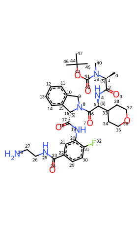 C[C@@H](C(=O)N[C@H](C(=O)N1Cc2ccccc2[C@H]1C(=O)Nc1cc(C(=O)NCCN)ccc1F)C1CCOCC1)N(C)C(=O)OC(C)(C)C